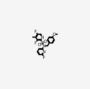 COc1ccc(CN(c2cccc(F)n2)S(=O)(=O)c2ncc(F)c(C)c2F)cc1